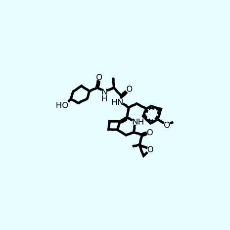 COc1ccc(CC(NC(=O)C(C)NC(=O)C2CCC(O)CC2)C2=C3CCC3CC(C(=O)C3(C)CO3)N2)cc1